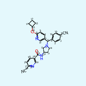 N#Cc1ccc([C@H](c2ccc(OC3CCC3)nc2)N2CCC(NC(=O)c3ccc(C#N)nc3)C2)cc1